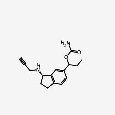 C#CCN[C@@H]1CCc2ccc(C(CC)OC(N)=O)cc21